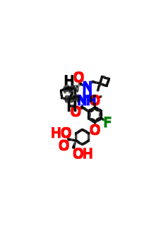 COc1cc(F)c(O[C@H]2CC[C@@](CO)(C(=O)O)CC2)cc1C(=O)N[C@@H]1[C@H]2CC[C@H](C2)[C@@H]1C(=O)NCC1(C)CCC1